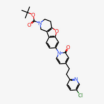 CC(C)(C)OC(=O)N1CCc2oc3cc(-n4ccc(CCc5ccc(Cl)cn5)cc4=O)ccc3c2C1